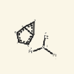 CCN(CC)CC.c1cc2cc-2c1